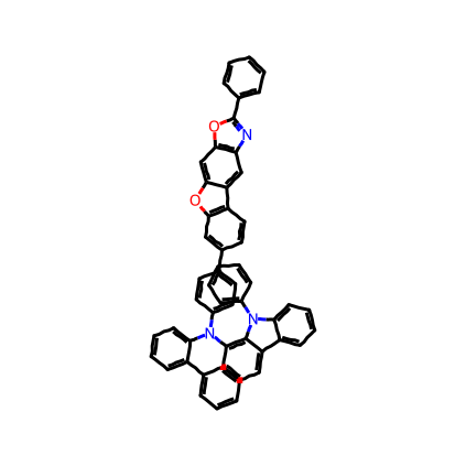 c1ccc(-c2nc3cc4c(cc3o2)oc2cc(-c3ccc(N(c5ccccc5-c5ccccc5)c5cccc6c7ccccc7n(-c7ccccc7)c56)cc3)ccc24)cc1